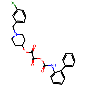 O=C(Nc1ccccc1-c1ccccc1)OC(=O)C(=O)OC1CCN(Cc2cccc(Br)c2)CC1